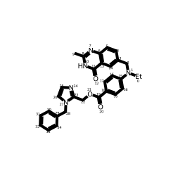 CCN(Cc1ccc2nc(C)[nH]c(=O)c2c1)c1ccc(C(=O)OCc2nccn2Cc2ccccc2)cc1